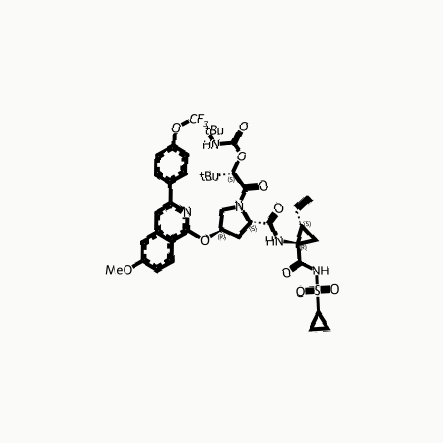 C=C[C@@H]1C[C@]1(NC(=O)[C@@H]1C[C@@H](Oc2nc(-c3ccc(OC(F)(F)F)cc3)cc3cc(OC)ccc23)CN1C(=O)[C@@H](OC(=O)NC(C)(C)C)C(C)(C)C)C(=O)NS(=O)(=O)C1CC1